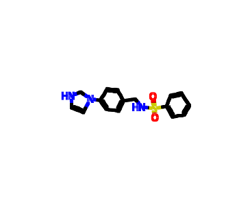 O=S(=O)(NCc1ccc(N2C=CNC2)cc1)c1ccccc1